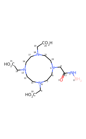 BNC(=O)CN1CCN(CC(=O)O)CCN(CC(=O)O)CCN(CC(=O)O)CC1